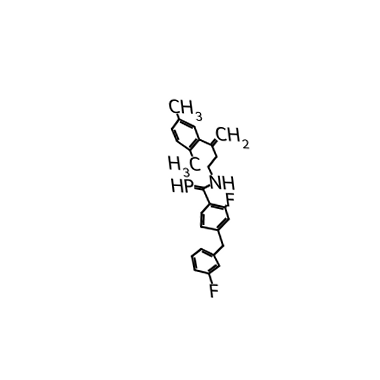 C=C(CCNC(=P)c1ccc(Cc2cccc(F)c2)cc1F)c1cc(C)ccc1C